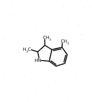 Cc1cccc2c1C(C)C(C)N2